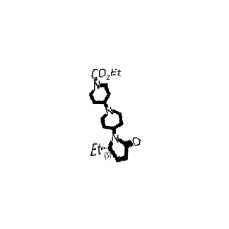 CCOC(=O)N1CCC(N2CCC(N3C(=O)CC[C@@H]3CC)CC2)CC1